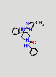 Cc1cnc(NC2(c3ccccc3)CCN(C(=O)Nc3ccccc3)CC2)nc1